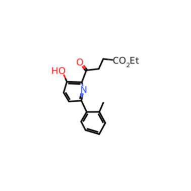 CCOC(=O)CCC(=O)c1nc(-c2ccccc2C)ccc1O